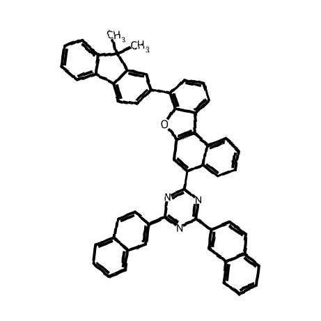 CC1(C)c2ccccc2-c2ccc(-c3cccc4c3oc3cc(-c5nc(-c6ccc7ccccc7c6)nc(-c6ccc7ccccc7c6)n5)c5ccccc5c34)cc21